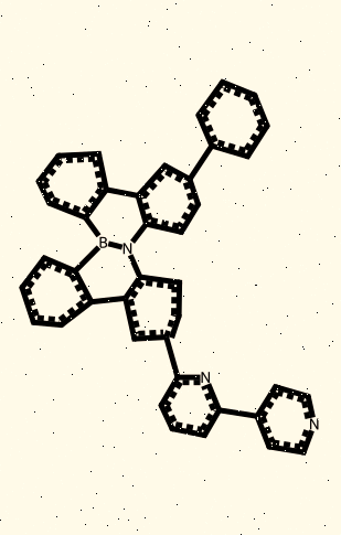 c1ccc(-c2ccc3c(c2)-c2ccccc2B2c4ccccc4-c4cc(-c5cccc(-c6ccncc6)n5)ccc4N23)cc1